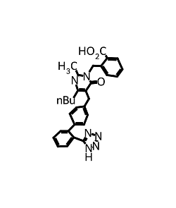 CCCCc1nc(C)n(Cc2ccccc2C(=O)O)c(=O)c1Cc1ccc(-c2ccccc2-c2nnn[nH]2)cc1